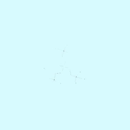 O=P(OCC(O)(O)O)(OCC(O)(O)O)OCC(O)(O)O.[Al]